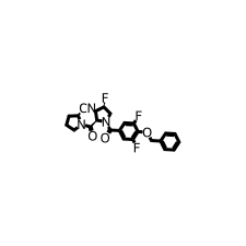 N#C[C@@H]1CCCN1C(=O)[C@H]1C[C@H](F)CN1C(=O)c1cc(F)c(OCc2ccccc2)c(F)c1